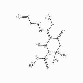 C=CCON/C(CC)=C1/C(=O)CC(C)(C)C(C(=O)OC)C1=O